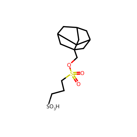 O=S(=O)(O)CCCS(=O)(=O)OCC12CC3CC(CC(C3)C1)C2